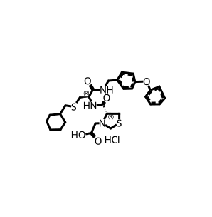 Cl.O=C(O)CN1CSC[C@H]1C(=O)N[C@@H](CSCC1CCCCC1)C(=O)NCc1ccc(Oc2ccccc2)cc1